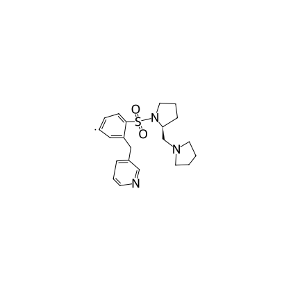 O=S(=O)(c1cc[c]cc1Cc1cccnc1)N1CCC[C@H]1CN1CCCC1